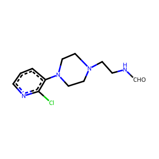 O=CNCCN1CCN(c2cccnc2Cl)CC1